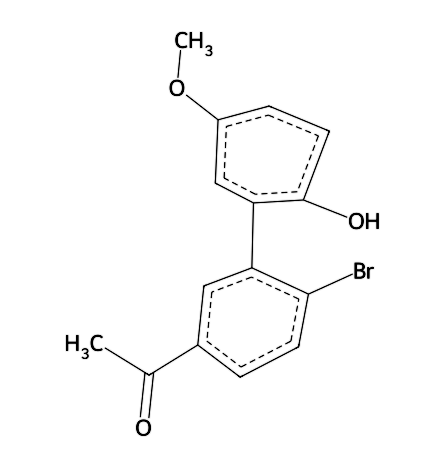 COc1ccc(O)c(-c2cc(C(C)=O)ccc2Br)c1